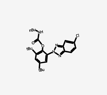 CCCCNC(=O)Oc1c(-n2nc3ccc(Cl)cc3n2)cc(C(C)(C)C)cc1C(C)(C)C